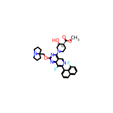 COC(=O)[C@H]1CCN(c2nc(OCC34CCCN3CCC4)nc3c(F)c(-c4cccc5cccc(F)c45)ncc23)C[C@H]1O